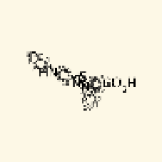 CC(C)Cc1ccc(CNc2ccc(-c3csc(N(CC4CCCCC4)c4ccc(C(=O)O)cc4)n3)cc2)cc1